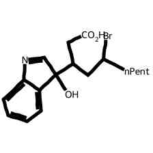 CCCCCC(Br)CC(CC(=O)O)C1(O)C=Nc2ccccc21